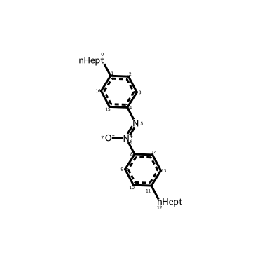 CCCCCCCc1ccc(N=[N+]([O-])c2ccc(CCCCCCC)cc2)cc1